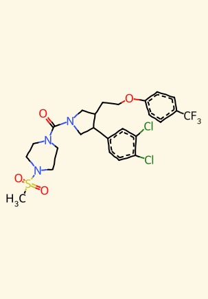 CS(=O)(=O)N1CCN(C(=O)N2CC(CCOc3ccc(C(F)(F)F)cc3)C(c3ccc(Cl)c(Cl)c3)C2)CC1